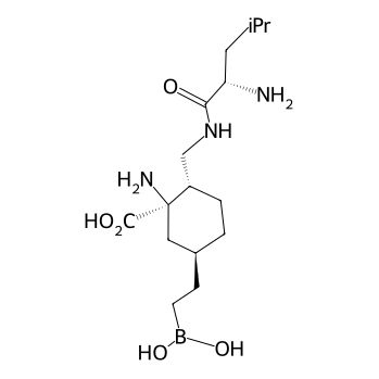 CC(C)C[C@H](N)C(=O)NC[C@@H]1CC[C@@H](CCB(O)O)C[C@]1(N)C(=O)O